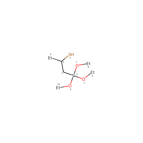 CCO[Si](CC(S)CC)(OCC)OCC